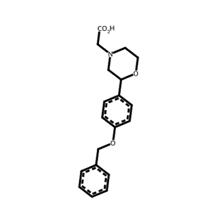 O=C(O)CN1CCOC(c2ccc(OCc3ccccc3)cc2)C1